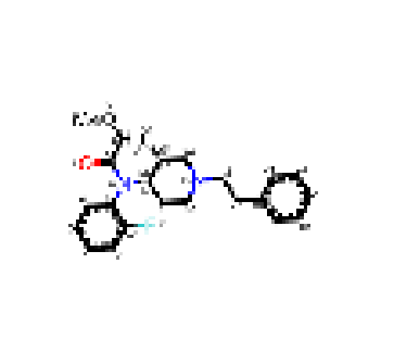 COCC(=O)N(c1ccccc1F)[C@H]1CCN(CCc2ccccc2)C[C@@H]1C